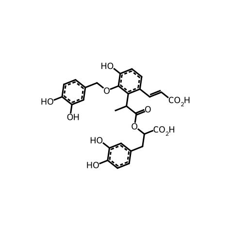 CC(C(=O)OC(Cc1ccc(O)c(O)c1)C(=O)O)c1c(/C=C/C(=O)O)ccc(O)c1OCc1ccc(O)c(O)c1